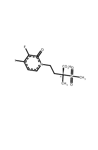 C[C@@](CCn1ccc(I)c(F)c1=O)(C(=O)O)S(C)(=O)=O